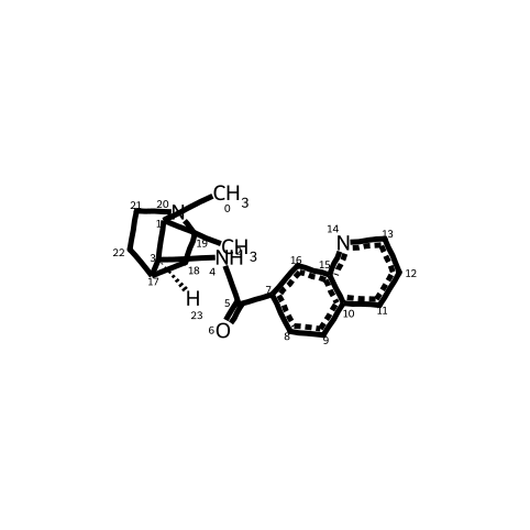 CC1(C)[C@@H](NC(=O)c2ccc3cccnc3c2)C2CCN1CC2